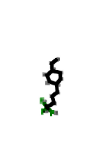 CCC1CCC(CCCC(F)(F)F)CC1